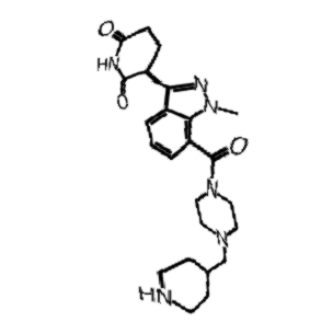 Cn1nc(C2CCC(=O)NC2=O)c2cccc(C(=O)N3CCN(CC4CCNCC4)CC3)c21